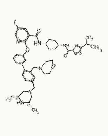 CC(C)c1nc(C(=O)N[C@H]2CC[C@@H](NC(=O)c3cc(F)cnc3Oc3cccc(-c4ccc(CN5C[C@@H](C)N[C@@H](C)C5)cc4CN4CCOCC4)c3)CC2)cs1